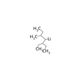 [Li][CH](C(C)CC)C(CC)CC